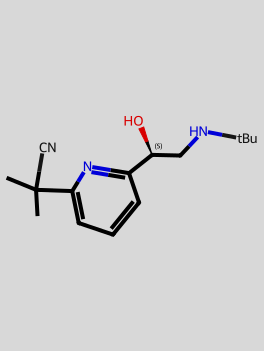 CC(C)(C)NC[C@H](O)c1cccc(C(C)(C)C#N)n1